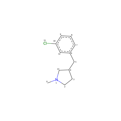 CN1CCC(Cc2cccc(Cl)c2)C1